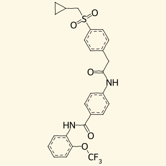 O=C(Cc1ccc(S(=O)(=O)CC2CC2)cc1)Nc1ccc(C(=O)Nc2ccccc2OC(F)(F)F)cc1